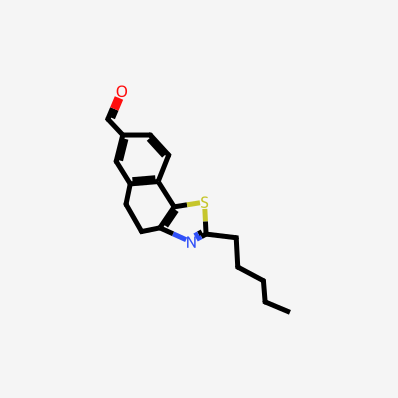 CCCCCc1nc2c(s1)-c1ccc(C=O)cc1CC2